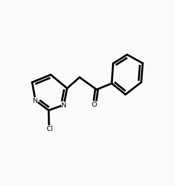 O=C(Cc1ccnc(Cl)n1)c1ccccc1